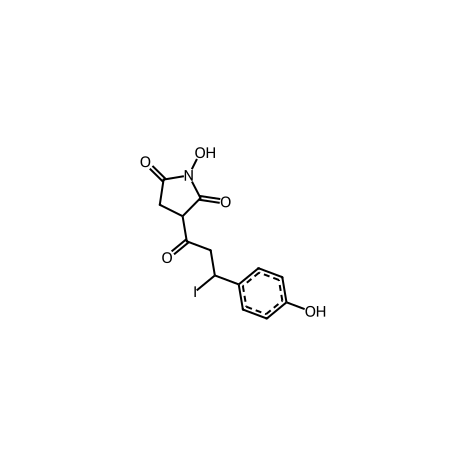 O=C(CC(I)c1ccc(O)cc1)C1CC(=O)N(O)C1=O